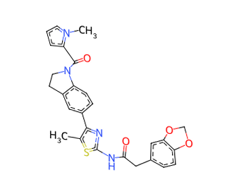 Cc1sc(NC(=O)Cc2ccc3c(c2)OCO3)nc1-c1ccc2c(c1)CCN2C(=O)c1cccn1C